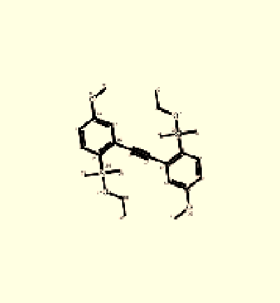 CCO[Si](C)(C)c1ccc(OC)cc1C#Cc1cc(OC)ccc1[Si](C)(C)OCC